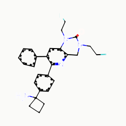 NC1(c2ccc(-c3nc4c(cc3-c3ccccc3)N(CCF)C(=O)N(CCF)C4)cc2)CCC1